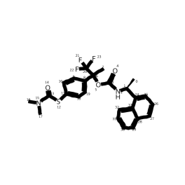 C[C@H](NC(=O)OC(C)(c1ccc(SC(=O)N(C)C)cc1)C(F)(F)F)c1cccc2ccccc12